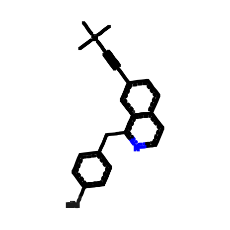 CCCCc1ccc(Cc2nccc3ccc(C#C[Si](C)(C)C)cc23)cc1